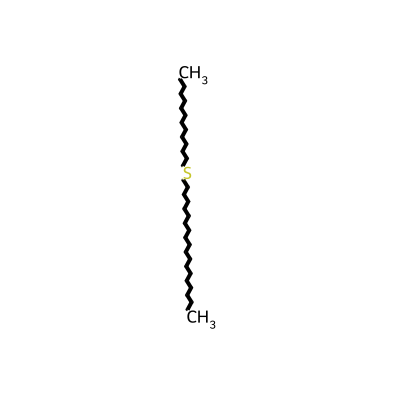 CCCCCCCCCCCCCCCCCCCCSCCCCCCCCCCCCCC